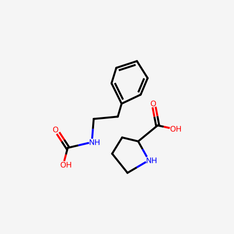 O=C(O)C1CCCN1.O=C(O)NCCc1ccccc1